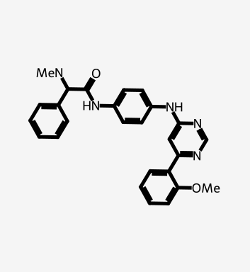 CNC(C(=O)Nc1ccc(Nc2cc(-c3ccccc3OC)ncn2)cc1)c1ccccc1